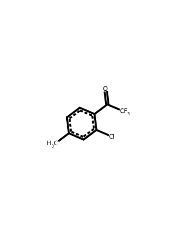 Cc1ccc(C(=O)C(F)(F)F)c(Cl)c1